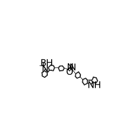 B=C(C)n1c2ccccc2c2cc(-c3ccc(-c4nnc(-c5ccc(-c6ccc7[nH]c8ccccc8c7c6)cc5)o4)cc3)ccc21